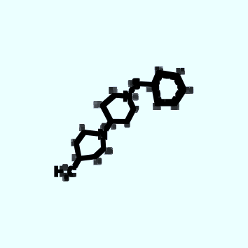 CC1CCN(C2CCN(Sc3ccccc3)CC2)CC1